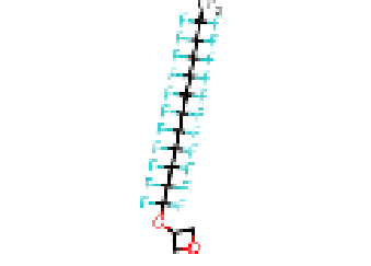 FC(F)(F)C(F)(F)C(F)(F)C(F)(F)C(F)(F)C(F)(F)C(F)(F)C(F)(F)C(F)(F)C(F)(F)C(F)(F)C(F)(F)OC1COC1